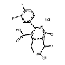 CCc1c(C(=O)O)c(-c2ccc(F)c(F)c2)nc(=O)n1C(=O)NO.Cl